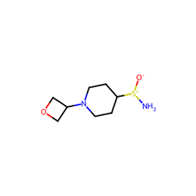 N[S+]([O-])C1CCN(C2COC2)CC1